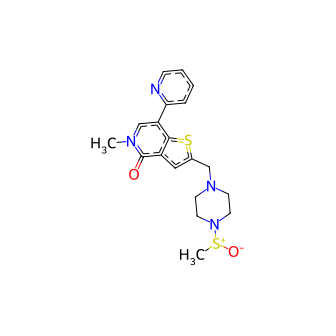 Cn1cc(-c2ccccn2)c2sc(CN3CCN([S+](C)[O-])CC3)cc2c1=O